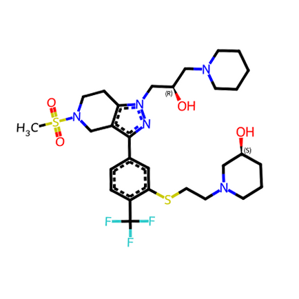 CS(=O)(=O)N1CCc2c(c(-c3ccc(C(F)(F)F)c(SCCN4CCC[C@H](O)C4)c3)nn2C[C@H](O)CN2CCCCC2)C1